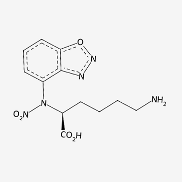 NCCCC[C@@H](C(=O)O)N(c1cccc2onnc12)[N+](=O)[O-]